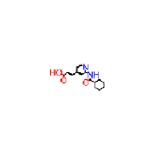 O=C(O)C=Cc1ccnc(NC(=O)C2CCCCC2)c1